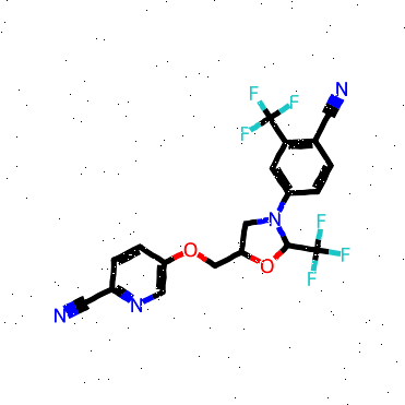 N#Cc1ccc(OCC2CN(c3ccc(C#N)c(C(F)(F)F)c3)C(C(F)(F)F)O2)cn1